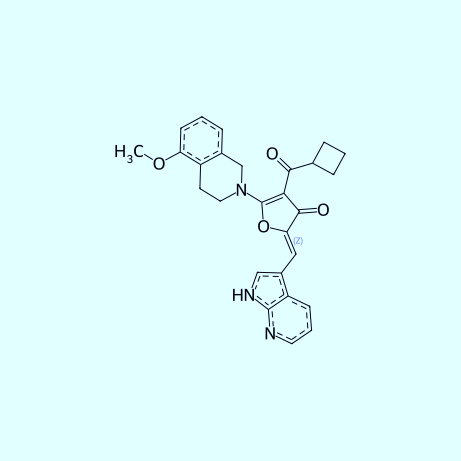 COc1cccc2c1CCN(C1=C(C(=O)C3CCC3)C(=O)/C(=C/c3c[nH]c4ncccc34)O1)C2